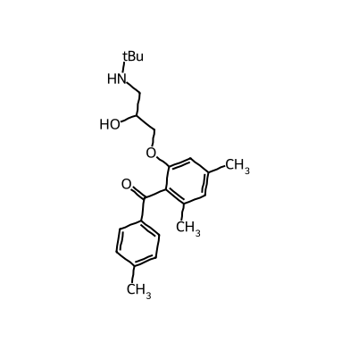 Cc1ccc(C(=O)c2c(C)cc(C)cc2OCC(O)CNC(C)(C)C)cc1